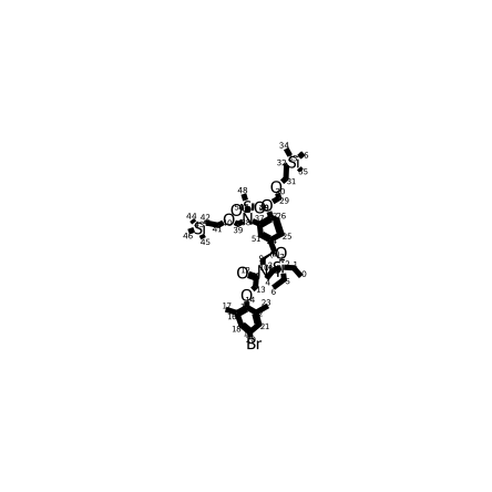 CC[Si](CC)(CC)O[C@@H](CNC(=O)COc1c(C)cc(Br)cc1C)c1ccc(OCOCC[Si](C)(C)C)c(N(COCC[Si](C)(C)C)S(C)(=O)=O)c1